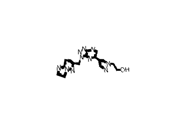 OCCn1cc(-c2cnc3nnn(Cc4ccc5nccn5n4)c3n2)cn1